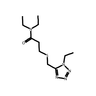 CCN(CC)C(=O)CCSCc1nnnn1CC